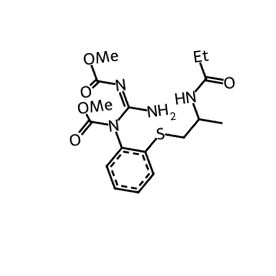 CCC(=O)NC(C)CSc1ccccc1N(C(=O)OC)/C(N)=N\C(=O)OC